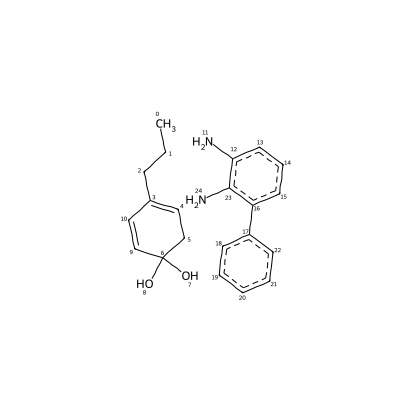 CCCC1=CCC(O)(O)C=C1.Nc1cccc(-c2ccccc2)c1N